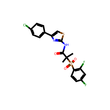 CC(C)(C(=O)Nc1nc(-c2ccc(Cl)cc2)cs1)S(=O)(=O)c1ccc(F)cc1F